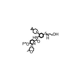 C[C@H]1CN(c2nc(C(=O)Nc3ccc(SNCCO)cc3N3CCC4(CC3)CC4)ccc2OCF)CCO1